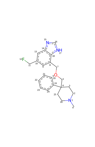 CN1CCC(COCc2cc(CF)cc3nc[nH]c23)(c2ccccc2)CC1